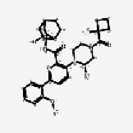 CCOc1ccccc1-c1ccc(N2CCN(C(=O)C3(C(F)(F)F)CCC3)C[C@H]2CC)c(C(=O)N[C@@H]2CC3CCC2CC3)n1